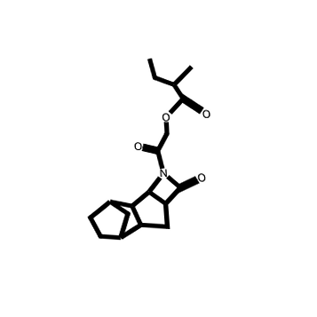 CCC(C)C(=O)OCC(=O)N1C(=O)C2CC3C4CCC(C4)C3C21